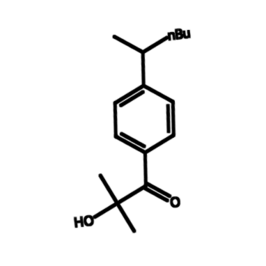 CCCCC(C)c1ccc(C(=O)C(C)(C)O)cc1